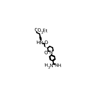 CCOC(=O)CCC#CNC(=O)C[C@@H]1CCCN(c2ccc(C(=N)N)cc2)C1=O